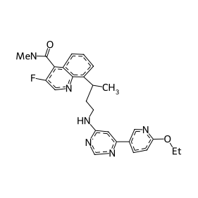 CCOc1ccc(-c2cc(NCCC(C)c3cccc4c(C(=O)NC)c(F)cnc34)ncn2)cn1